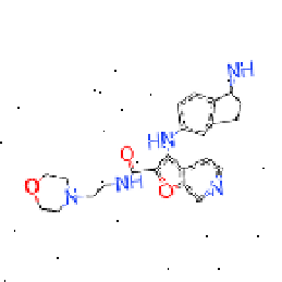 N=C1CCc2cc(Nc3c(C(=O)NCCN4CCOCC4)oc4cnccc34)ccc21